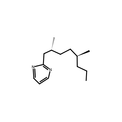 CCC[C@H](C)CC[C@@H](C)Cc1ncccn1